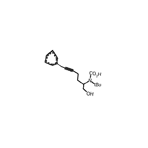 CC(C)(C)N(C(=O)O)C(CO)CCC#Cc1ccccc1